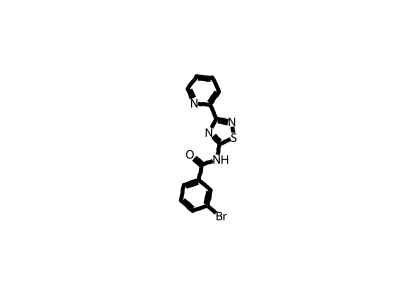 O=C(Nc1nc(-c2ccccn2)ns1)c1cccc(Br)c1